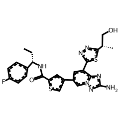 CC[C@H](NC(=O)c1cc(-c2cc(-c3nnc([C@@H](C)CO)s3)c3nc(N)nn3c2)cs1)c1ccc(F)cc1